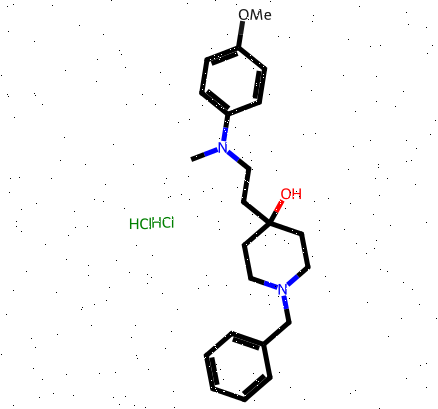 COc1ccc(N(C)CCC2(O)CCN(Cc3ccccc3)CC2)cc1.Cl.Cl